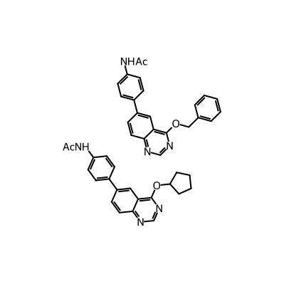 CC(=O)Nc1ccc(-c2ccc3ncnc(OC4CCCC4)c3c2)cc1.CC(=O)Nc1ccc(-c2ccc3ncnc(OCc4ccccc4)c3c2)cc1